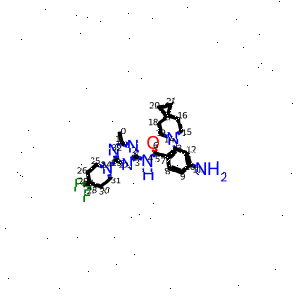 Cc1nc(NC(=O)c2ccc(N)cc2N2CCC3(CC2)CC3)nc(N2CCC(F)(F)CC2)n1